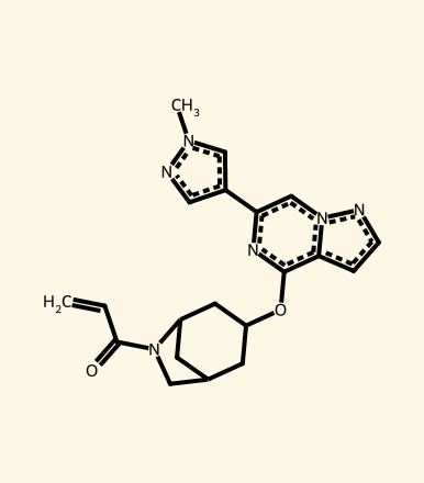 C=CC(=O)N1CC2CC(Oc3nc(-c4cnn(C)c4)cn4nccc34)CC1C2